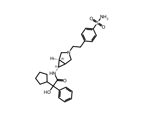 NS(=O)(=O)c1ccc(CCN2CC3[C@H](C2)[C@H]3NC(=O)C(O)(c2ccccc2)C2CCCC2)cc1